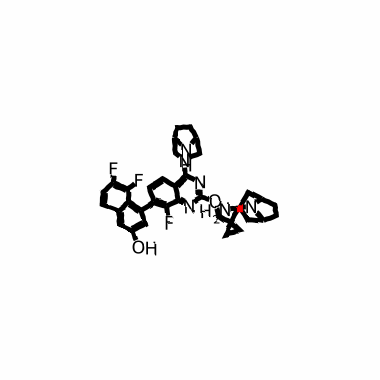 NC1CC2CCC(C1)N2CC1(COc2nc(N3CC4CCC(C3)N4)c3ccc(-c4cc(O)cc5ccc(F)c(F)c45)c(F)c3n2)CC1